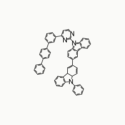 C1=CC2C(C=C1c1ccc3c(c1)c1ccccc1n3-c1nccc(-c3cccc(-c4ccc(-c5ccccc5)cc4)c3)n1)c1ccccc1N2c1ccccc1